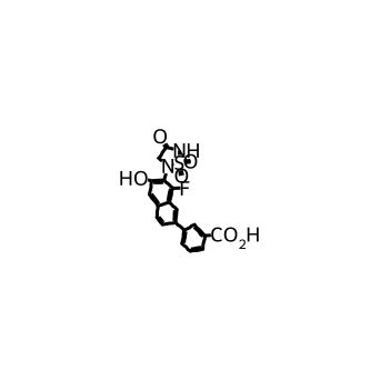 O=C1CN(c2c(O)cc3ccc(-c4cccc(C(=O)O)c4)cc3c2F)S(=O)(=O)N1